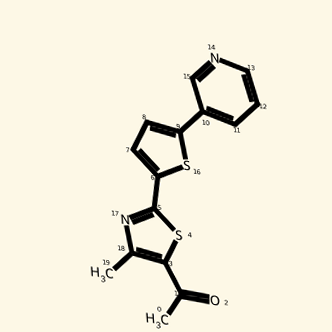 CC(=O)c1sc(-c2ccc(-c3cccnc3)s2)nc1C